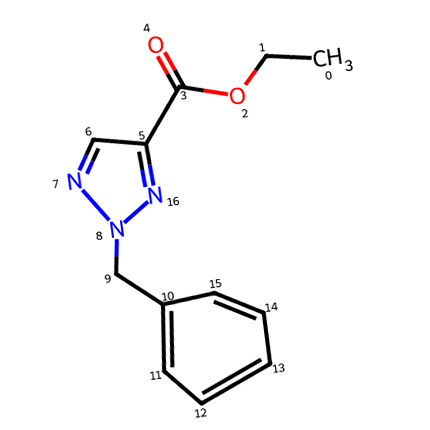 CCOC(=O)c1cnn(Cc2ccccc2)n1